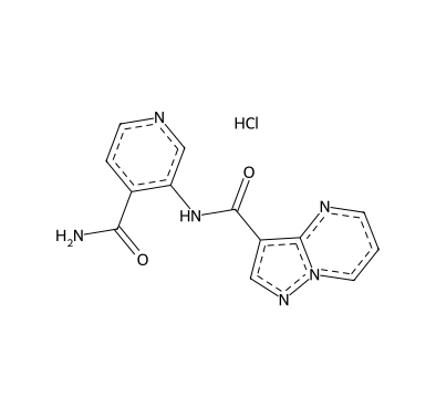 Cl.NC(=O)c1ccncc1NC(=O)c1cnn2cccnc12